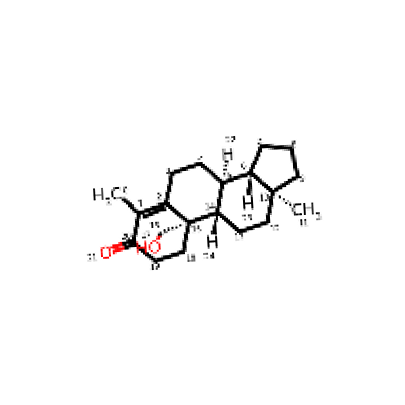 CC1=C2CC[C@H]3[C@@H]4CCC[C@@]4(C)CC[C@@H]3[C@@]2(CO)CCC1=O